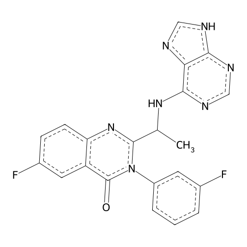 CC(Nc1ncnc2[nH]cnc12)c1nc2ccc(F)cc2c(=O)n1-c1cccc(F)c1